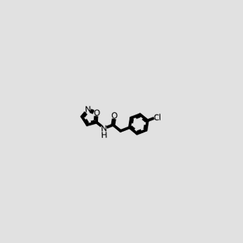 O=C(Cc1ccc(Cl)cc1)Nc1ccno1